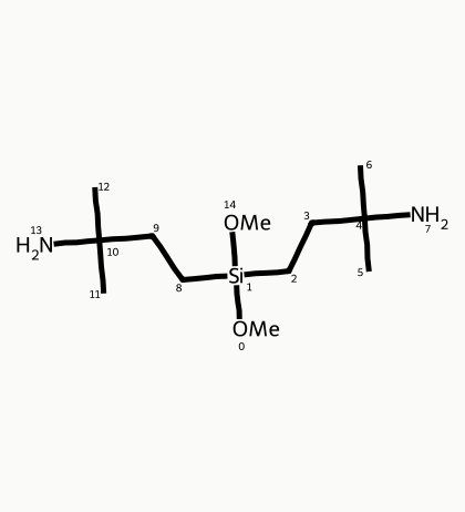 CO[Si](CCC(C)(C)N)(CCC(C)(C)N)OC